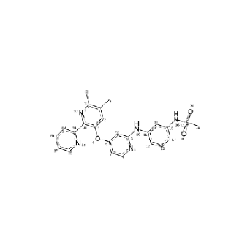 Cc1cc(Oc2ccnc(Nc3cccc(NS(C)(=O)=O)c3)c2)c(-c2ccccn2)nc1C